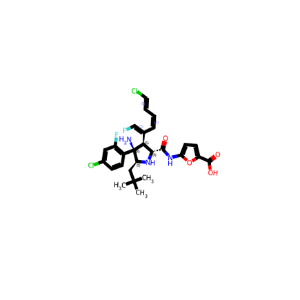 CC(C)(C)C[C@@H]1N[C@@H](C(=O)Nc2ccc(C(=O)O)o2)[C@H](C(/C=C\C=C\Cl)=C\F)[C@@]1(N)c1ccc(Cl)cc1F